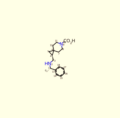 C[C@H](NC[C@H]1CC12CCN(C(=O)O)CC2)c1ccccc1